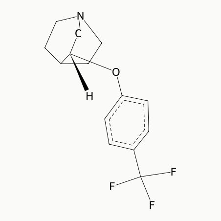 FC(F)(F)c1ccc(O[C@H]2CN3CCC2CC3)cc1